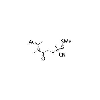 CSSC(C)(C#N)CCC(=O)N(C)[C@H](C)C(C)=O